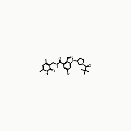 Cc1cc(C)c(CNC(=O)c2cc(Br)cc3c2cnn3C2CCN(C(=O)C(C)(C)C)C2)c(=O)[nH]1